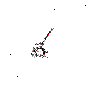 CCOCCOCCOCCOCCOCCOCCOCCNC(=O)O[C@@H]1CC[C@@H](C[C@@H](N)[C@@H]2C[C@@H](OC)[C@H](C)/C=C(\C)[C@@H](O)[C@@H](O)C(=O)[C@H](C)C[C@H](C)/C=C/C=C/C=C(\C)[C@@H](OC)C[C@@H]3CC[C@@H](C)[C@@](O)(O3)C(=O)C(=O)N3CCCC[C@H]3C(=O)O2)C[C@H]1OC